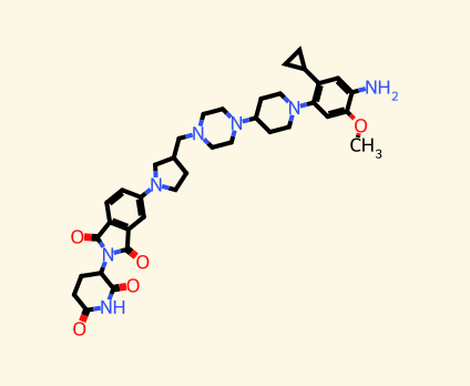 COc1cc(N2CCC(N3CCN(CC4CCN(c5ccc6c(c5)C(=O)N(C5CCC(=O)NC5=O)C6=O)C4)CC3)CC2)c(C2CC2)cc1N